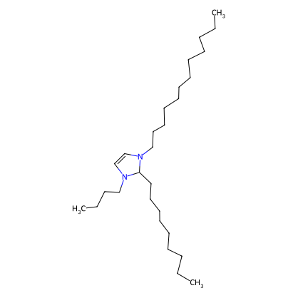 CCCCCCCCCCCCN1C=CN(CCCC)C1CCCCCCCCC